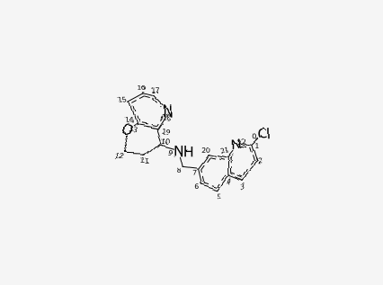 Clc1ccc2ccc(CNC3CCOc4cccnc43)cc2n1